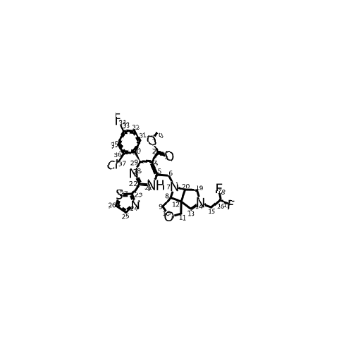 COC(=O)C1=C(CN2C3COCC34CN(CC(F)F)CC24)NC(c2nccs2)=N[C@H]1c1ccc(F)cc1Cl